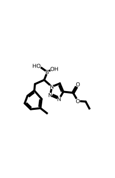 CCOC(=O)c1cn(C(Cc2cccc(C)c2)B(O)O)nn1